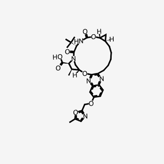 Cc1cnc(COc2ccc3nc4c(nc3c2)O[C@H]2CN(C(=O)[C@H](C(C)(C)C)NC(=O)O[C@@H]3C[C@H]3CCCCC4)[C@H](C(=O)O)[C@@H]2C)o1